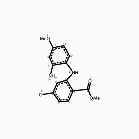 COC(=O)c1ccc(Cl)cc1Nc1ccc(OC)cc1N